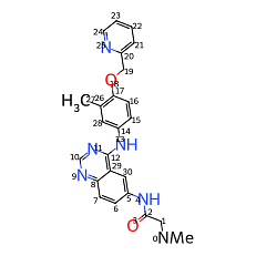 CNCC(=O)Nc1ccc2ncnc(Nc3ccc(OCc4ccccn4)c(C)c3)c2c1